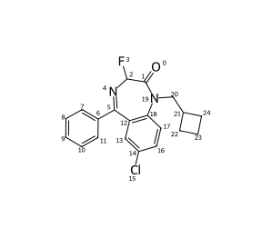 O=C1C(F)N=C(c2ccccc2)c2cc(Cl)ccc2N1CC1CCC1